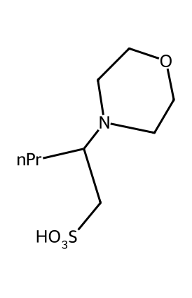 CCCC(CS(=O)(=O)O)N1CCOCC1